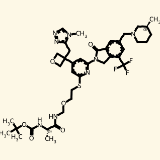 C[C@H]1CCCN(Cc2cc3c(c(C(F)(F)F)c2)CN(c2cc(C4(Cc5nncn5C)COC4)cc(SCCOCNC(=O)[C@H](C)NC(=O)OC(C)(C)C)n2)C3=O)C1